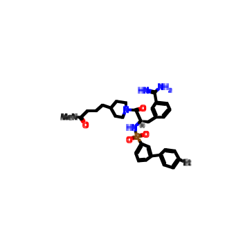 CCc1ccc(-c2cccc(S(=O)(=O)N[C@H](Cc3cccc(C(=N)N)c3)C(=O)N3CCC(CCCC(=O)NC)CC3)c2)cc1